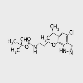 CC(C)c1cc(Cl)c2cn[nH]c2c1OCCCNC(=O)OC(C)(C)C